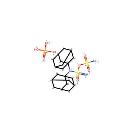 N=S(=O)(OS(N)(=O)=O)N(C12CC3CC(CC(C3)C1)C2)C12CC3CC(CC(C3)C1)C2.O=P(O)(O)O